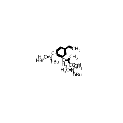 Br.C=C(C)C(=O)O.C=Cc1ccccc1.CCCCN(C)C.CCCCN(C)C